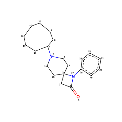 O=C1CC2(CCN(C3CCCCCCC3)CC2)N1c1ccccc1